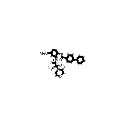 COc1ccc(NC(=O)c2ccc(-c3ccccc3)cc2)c(NC(=O)C(C)(C)N2CCOCC2)c1